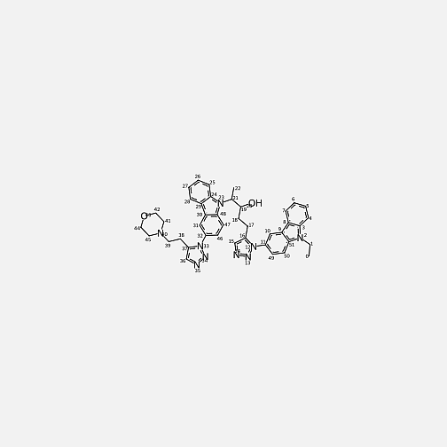 CCn1c2ccccc2c2cc(-n3nncc3CCC(O)C(C)n3c4ccccc4c4cc(-n5nncc5CCN5CCOCC5)ccc43)ccc21